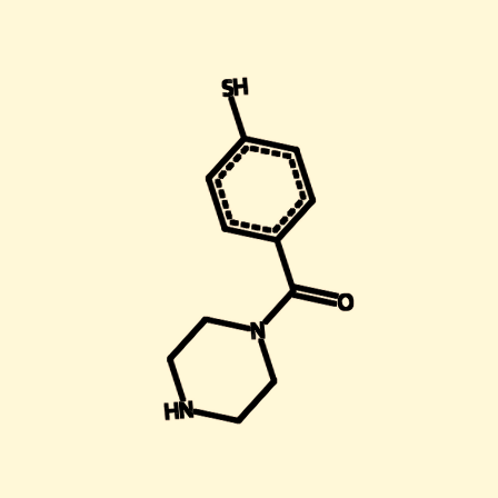 O=C(c1ccc(S)cc1)N1CCNCC1